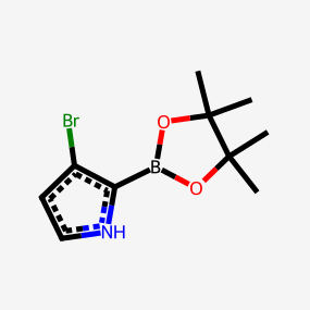 CC1(C)OB(c2[nH]ccc2Br)OC1(C)C